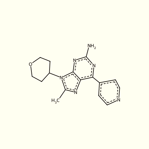 Cc1nc2c(-c3ccncc3)nc(N)nc2n1C1CCOCC1